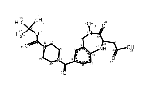 CN1Cc2cc(C(=O)N3CCN(C(=O)OC(C)(C)C)CC3)ccc2NC(CC(=O)O)C1=O